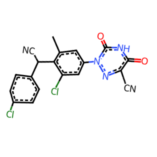 Cc1cc(-n2nc(C#N)c(=O)[nH]c2=O)cc(Cl)c1C(C#N)c1ccc(Cl)cc1